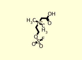 C[N+](C)(CCOS(=O)(=O)F)CC(=O)O